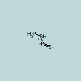 PBP=S